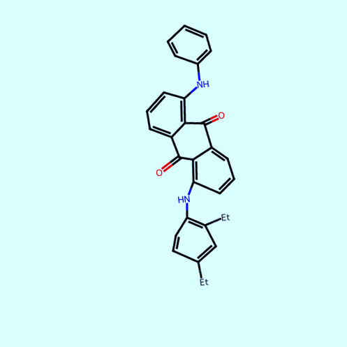 CCc1ccc(Nc2cccc3c2C(=O)c2cccc(Nc4ccccc4)c2C3=O)c(CC)c1